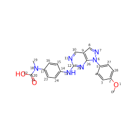 COc1ccc(-n2ncc3cnc(Nc4ccc(N(C)C(=O)O)cc4)nc32)cc1